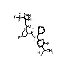 CC(C)c1ccc([C@@H](NC(=O)[C@@H]2C[C@@H](F)CN2C(=O)Cc2[nH]nnc2C(F)(F)F)c2ccccc2)nc1F